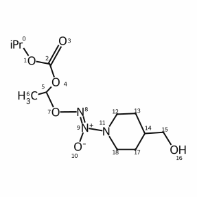 CC(C)OC(=O)OC(C)ON=[N+]([O-])N1CCC(CO)CC1